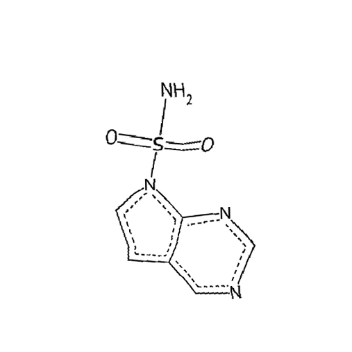 NS(=O)(=O)n1ccc2cncnc21